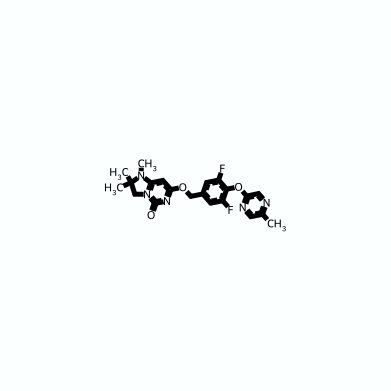 Cc1cnc(Oc2c(F)cc(COc3cc4n(c(=O)n3)CC(C)(C)N4C)cc2F)cn1